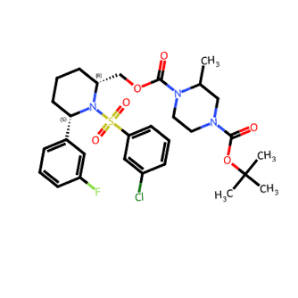 CC1CN(C(=O)OC(C)(C)C)CCN1C(=O)OC[C@H]1CCC[C@@H](c2cccc(F)c2)N1S(=O)(=O)c1cccc(Cl)c1